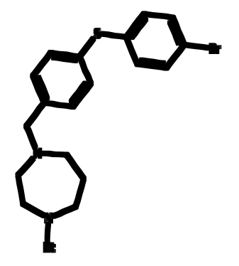 CCN1CCCN(Cc2ccc(Sc3ccc(Br)cc3)cc2)CC1